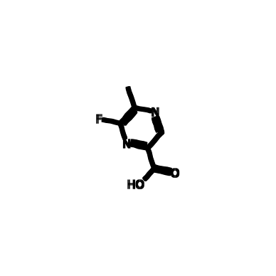 Cc1ncc(C(=O)O)nc1F